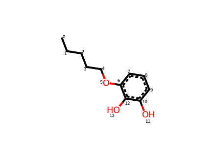 CCCCCOc1c[c]cc(O)c1O